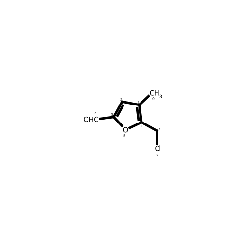 Cc1cc(C=O)oc1CCl